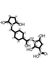 O=S(O)C1CC(O)N(OC(O)C2CCC(CN3C(O)CCC3O)CC2)C1O